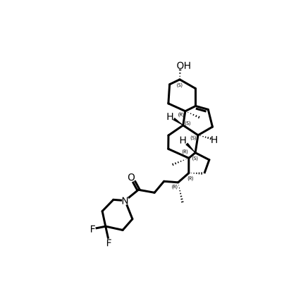 C[C@H](CCC(=O)N1CCC(F)(F)CC1)[C@H]1CC[C@H]2[C@@H]3CC=C4C[C@@H](O)CC[C@]4(C)[C@H]3CC[C@]12C